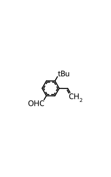 C=Cc1cc(C=O)ccc1C(C)(C)C